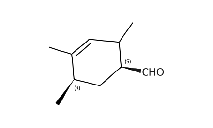 CC1=CC(C)[C@@H](C=O)C[C@H]1C